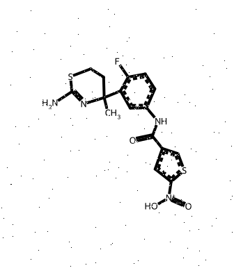 CC1(c2cc(NC(=O)c3csc([N+](=O)O)c3)ccc2F)CCSC(N)=N1